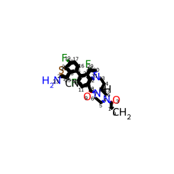 C=CC(=O)N1CCN2C(=O)c3cc(F)c(-c4ccc(F)c5sc(N)c(C#N)c45)c4c(F)cn(c34)CC[C@@H]2C1